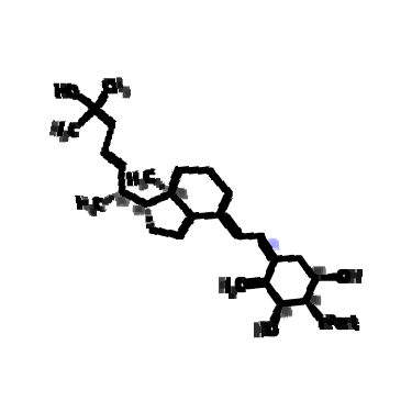 C=C1/C(=C\C=C2CCC[C@@]3(C)C2CC[C@@H]3[C@H](C)CCCC(C)(C)O)C[C@@H](O)[C@@H](CCCCC)[C@H]1O